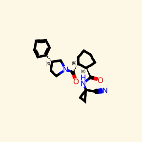 N#CC1(NC(=O)[C@@H]2CCCC[C@H]2C(=O)N2CC[C@H](c3ccccc3)C2)CC1